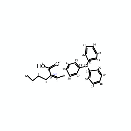 C/C=C(/CCCC)C(=O)O.c1ccc(P(c2ccccc2)c2ccccc2)cc1